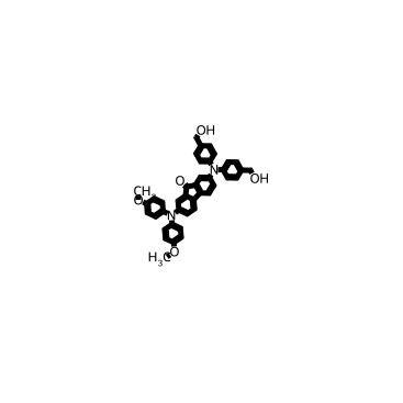 COc1ccc(N(c2ccc(OC)cc2)c2ccc3c(c2)C(=O)c2cc(N(c4ccc(CO)cc4)c4ccc(CO)cc4)ccc2-3)cc1